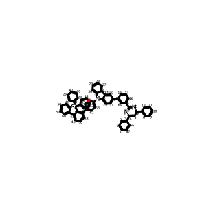 c1ccc(-c2cc(-c3ccccc3)nc(-c3cccc(-c4ccc5c(c4)c4ccccc4n5-c4ccc(-c5cccc6c5[Si](c5ccccc5)(c5ccccc5)c5ccccc5-6)cc4)c3)n2)cc1